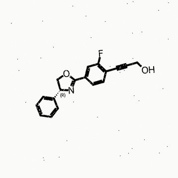 OCC#Cc1ccc(C2=N[C@H](c3ccccc3)CO2)cc1F